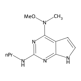 CCCNc1nc(N(C)OC)c2cc[nH]c2n1